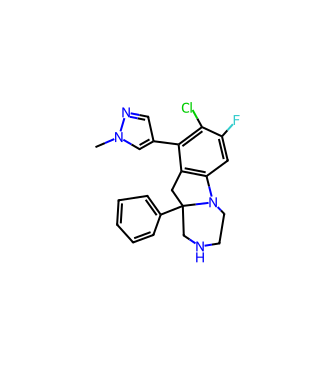 Cn1cc(-c2c(Cl)c(F)cc3c2CC2(c4ccccc4)CNCCN32)cn1